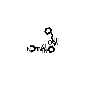 O=C(NCc1ccncc1)Nc1cccc(S(=O)(=O)NCCc2ccccc2)c1